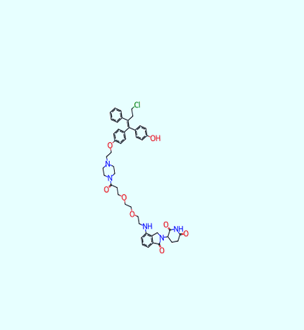 O=C1CCC(N2Cc3c(NCCOCCOCCC(=O)N4CCN(CCOc5ccc(C(=C(CCCl)c6ccccc6)c6ccc(O)cc6)cc5)CC4)cccc3C2=O)C(=O)N1